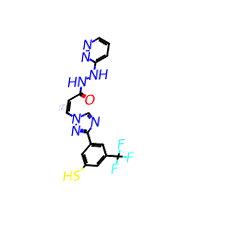 O=C(/C=C\n1cnc(-c2cc(S)cc(C(F)(F)F)c2)n1)NNc1cccnn1